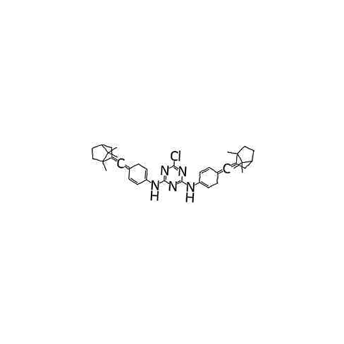 CC12CCC(CC1=C=C1C=CC(Nc3nc(Cl)nc(NC4=CCC(=C=C5CC6CCC5(C)C6(C)C)C=C4)n3)=CC1)C2(C)C